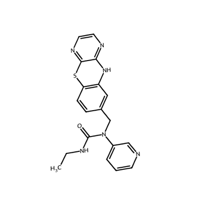 CCNC(=O)N(Cc1ccc2c(c1)Nc1nccnc1S2)c1cccnc1